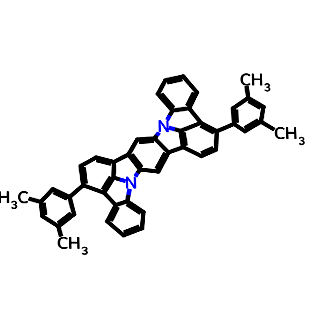 Cc1cc(C)cc(-c2ccc3c4cc5c(cc4n4c6ccccc6c2c34)c2ccc(-c3cc(C)cc(C)c3)c3c4ccccc4n5c23)c1